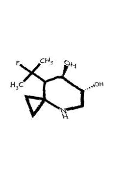 CC(C)(F)C1[C@@H](O)[C@H](O)CNC12CC2